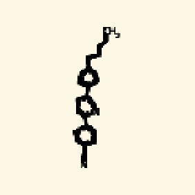 C=CCCCc1ccc(-c2ccc(-c3ccc(C#N)cc3)nc2)cc1